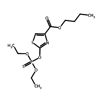 CCCCOC(=O)c1csc(OP(=S)(OCC)OCC)n1